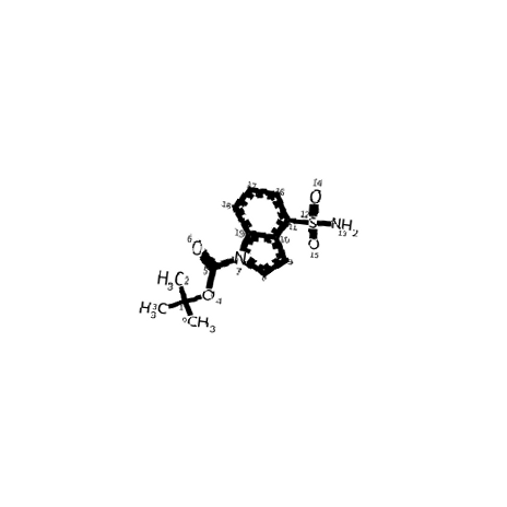 CC(C)(C)OC(=O)n1ccc2c(S(N)(=O)=O)cccc21